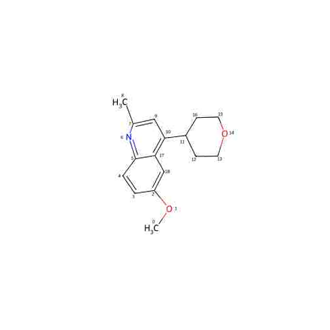 COc1ccc2nc(C)cc(C3CCOCC3)c2c1